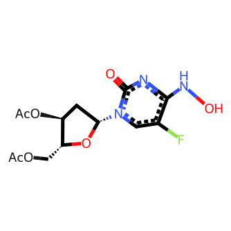 CC(=O)OC[C@H]1O[C@@H](n2cc(F)c(NO)nc2=O)C[C@@H]1OC(C)=O